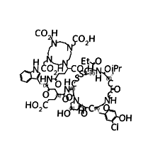 CCC(=O)[C@@H]1CSSC[C@H](NC(=O)[C@@H](CCC(=O)O)CC(=O)[C@H](Cc2c[nH]c3ccccc23)NC(=O)CCC(C(=O)O)N2CCN(CC(=O)O)CCN(CC(=O)O)CCN(CC(=O)O)CC2)C(=O)N2C[C@H](O)C[C@H]2C(=O)C[C@@H](Cc2ccc(O)c(Cl)c2)C(=O)NCC(=O)C[C@@H](CC(C)C)C(=O)N1